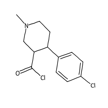 CN1CCC(c2ccc(Cl)cc2)C(C(=O)Cl)C1